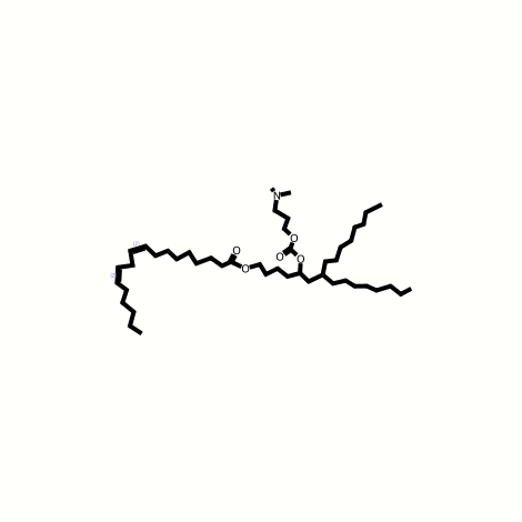 CCCCC/C=C\C/C=C\CCCCCCCC(=O)OCCCCC(CC(CCCCCCCC)CCCCCCCC)OC(=O)OCCCN(C)C